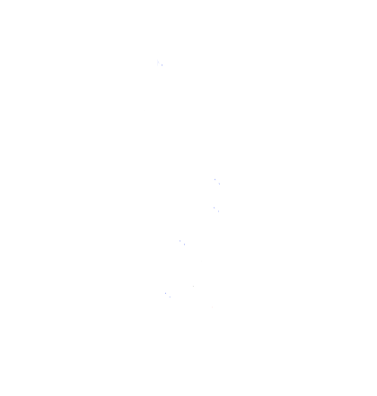 CCc1cc(C(=O)N2CCCCCC2C)nc2cc(-c3ccc(N)cc3)nn12